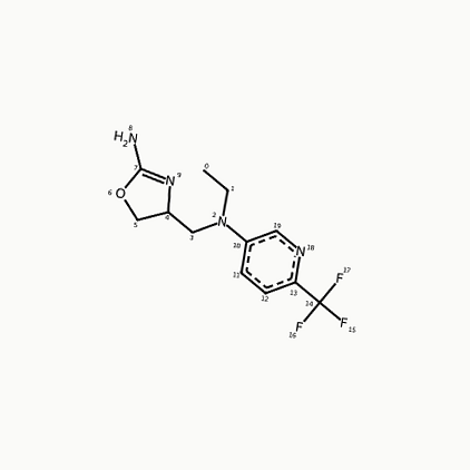 CCN(CC1COC(N)=N1)c1ccc(C(F)(F)F)nc1